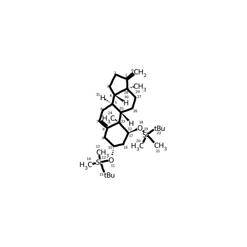 C=C1CC[C@H]2[C@@H]3CC=C4C[C@@H](O[Si](C)(C)C(C)(C)C)C[C@H](O[Si](C)(C)C(C)(C)C)[C@]4(C)[C@H]3CC[C@]12C